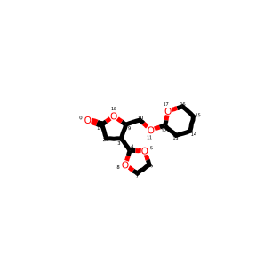 O=C1CC(C2OCCO2)C(COC2CCCCO2)O1